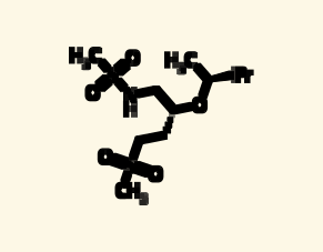 CC(C)[C@H](C)O[C@H](CCS(C)(=O)=O)CNS(C)(=O)=O